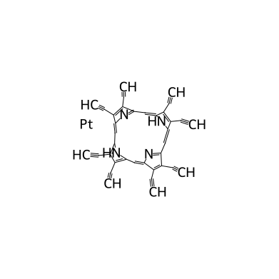 C#CC1=C(C#C)c2cc3[nH]c(cc4nc(cc5[nH]c(cc1n2)c(C#C)c5C#C)C(C#C)=C4C#C)c(C#C)c3C#C.[Pt]